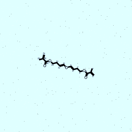 C=C(C)C(=O)OCCC=COC=CCCOC(=O)C(=C)C